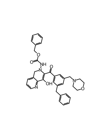 O=C(NN1Cc2cccnc2C(O)=C1C(=O)c1cc(Cc2ccccc2)cc(CN2CCOCC2)c1)OCc1ccccc1